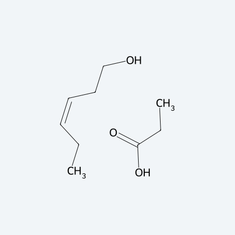 CC/C=C\CCO.CCC(=O)O